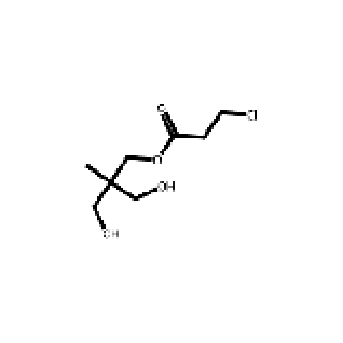 CC(CO)(CO)COC(=O)CCCl